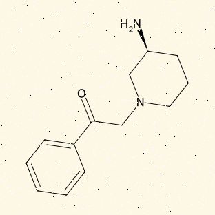 N[C@H]1CCCN(CC(=O)c2ccccc2)C1